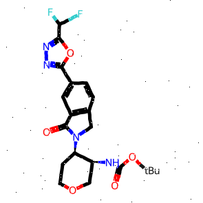 CC(C)(C)OC(=O)N[C@H]1COCC[C@H]1N1Cc2ccc(-c3nnc(C(F)F)o3)cc2C1=O